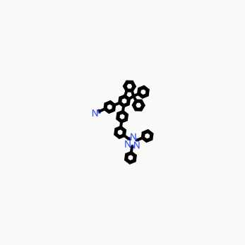 N#Cc1ccc(-c2cc3c(cc2-c2ccc(-c4cccc(-c5nc(-c6ccccc6)nc(-c6ccccc6)n5)c4)cc2)C(c2ccccc2)(c2ccccc2)c2ccccc2-3)cc1